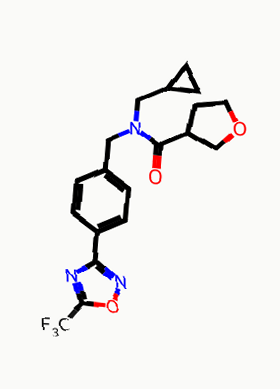 O=C(C1CCOC1)N(Cc1ccc(-c2noc(C(F)(F)F)n2)cc1)CC1CC1